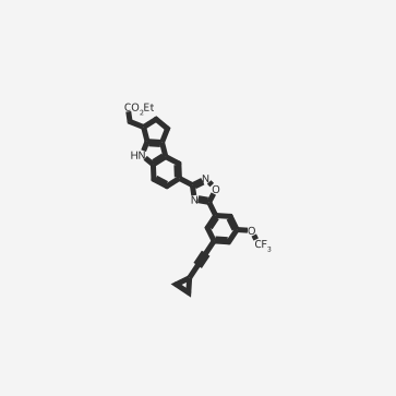 CCOC(=O)CC1CCc2c1[nH]c1ccc(-c3noc(-c4cc(C#CC5CC5)cc(OC(F)(F)F)c4)n3)cc21